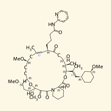 CO[C@@H]1CC[C@H]2O[C@@](O)(C(=O)C(=O)N3CCCC[C@H]3C(=O)O[C@H](/C(C)=C/[C@@H]3CCC[C@H](OC)C3)[C@H](C)[C@@H](O)CC(=O)[C@H](CCCC(=O)Nc3ccccn3)/C=C(\C)C1)[C@H](C)C[C@@H]2OC